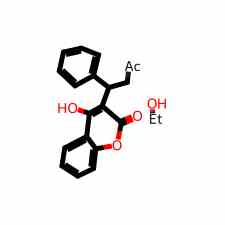 CC(=O)CC(c1ccccc1)c1c(O)c2ccccc2oc1=O.CCO